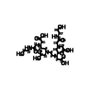 O=C(O)CN(CCN(CCN(CC(=O)O)CC(=O)NCCO)CC(=O)O)CCN(CC(=O)O)CC(=O)NCCO